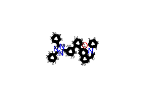 C1=CN(c2ccccc2)c2c3oc4cccc(-c5cccc(-c6nc(-c7ccccc7)nc(-c7ccccc7)n6)c5)c4c3cc3cccc1c23